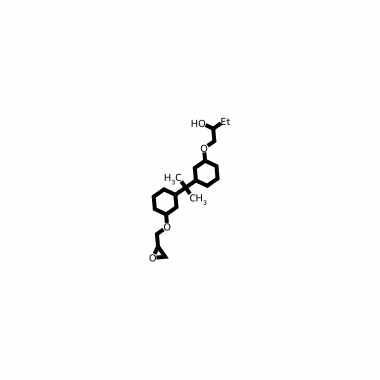 CCC(O)COC1CCCC(C(C)(C)C2CCCC(OCC3CO3)C2)C1